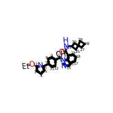 CCOc1cccc(-c2ccc([C@H](C)n3ncc4cccc(C(=O)NC5CC6(CCC6)C5)c43)cc2)n1